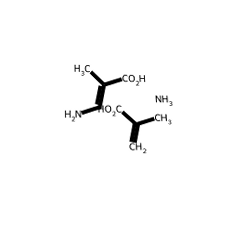 C=C(C)C(=O)O.CC(=CN)C(=O)O.N